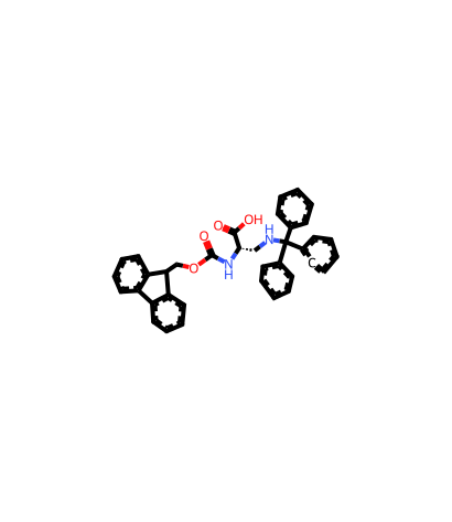 O=C(N[C@@H](CNC(c1ccccc1)(c1ccccc1)c1ccccc1)C(=O)O)OCC1c2ccccc2-c2ccccc21